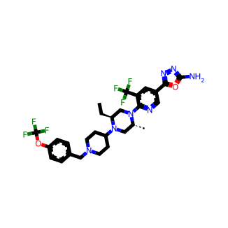 CC[C@H]1CN(c2ncc(-c3nnc(N)o3)cc2C(F)(F)F)[C@H](C)CN1C1CCN(Cc2ccc(OC(F)(F)F)cc2)CC1